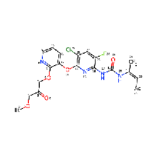 CCOCC(=O)COc1ncccc1Oc1nc(NC(=O)N/C(=C\C(C)=O)C(F)(F)F)c(F)cc1Cl